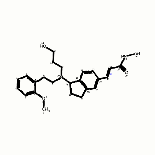 COc1ccccc1CCN(CCCO)C1CCc2cc(/C=C/C(=O)NO)ccc21